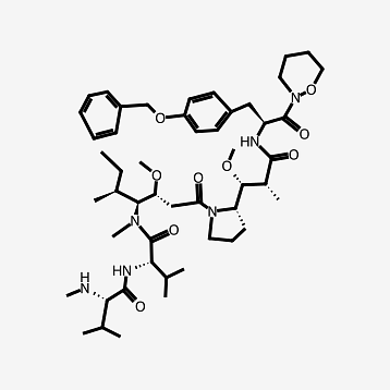 CC[C@H](C)[C@@H]([C@@H](CC(=O)N1CCC[C@H]1[C@H](OC)[C@@H](C)C(=O)N[C@@H](Cc1ccc(OCc2ccccc2)cc1)C(=O)N1CCCCO1)OC)N(C)C(=O)[C@@H](NC(=O)[C@@H](NC)C(C)C)C(C)C